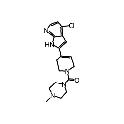 CN1CCN(C(=O)N2CC=C(c3cc4c(Cl)ccnc4[nH]3)CC2)CC1